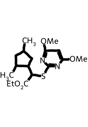 CCOC(=O)C(Sc1nc(OC)cc(OC)n1)C1CC(C)CC1C